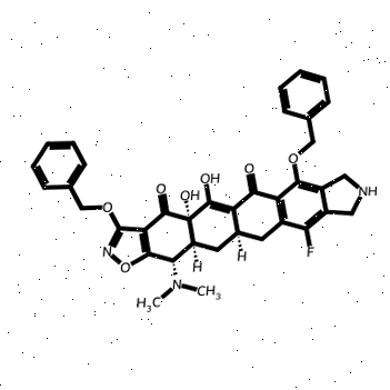 CN(C)[C@@H]1c2onc(OCc3ccccc3)c2C(=O)[C@@]2(O)C(O)=C3C(=O)c4c(c(F)c5c(c4OCc4ccccc4)CNC5)C[C@H]3C[C@@H]12